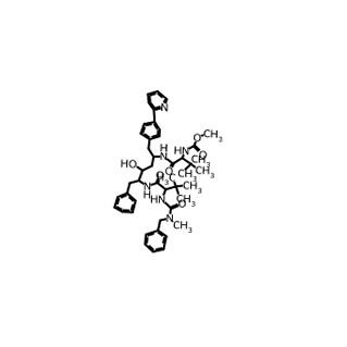 COC(=O)NC(C(=O)NC(Cc1ccc(-c2ccccn2)cc1)CC(O)C(Cc1ccccc1)NC(=O)C(NC(=O)N(C)Cc1ccccc1)C(C)(C)C)C(C)(C)C